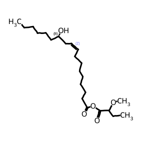 CCCCCC[C@@H](O)C/C=C\CCCCCCCC(=O)OC(=O)C(CC)OC